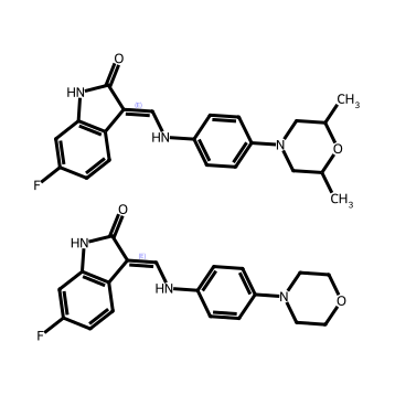 CC1CN(c2ccc(N/C=C3/C(=O)Nc4cc(F)ccc43)cc2)CC(C)O1.O=C1Nc2cc(F)ccc2/C1=C\Nc1ccc(N2CCOCC2)cc1